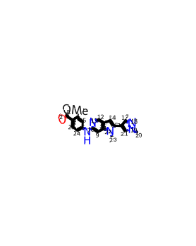 COC(=O)c1ccc(Nc2cc3c(cn2)cc(-c2cnn(C)c2)n3C)cc1